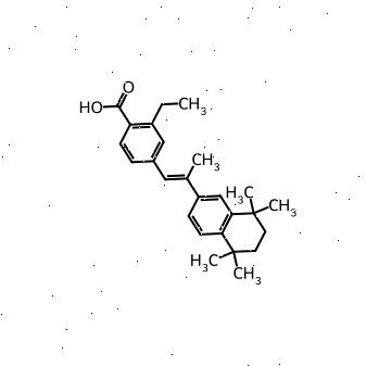 CCc1cc(C=C(C)c2ccc3c(c2)C(C)(C)CCC3(C)C)ccc1C(=O)O